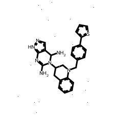 NC1=Nc2[nH]ncc2C(N)N1C1Cc2ccccc2N(Cc2ccc(-c3cccs3)cc2)C1